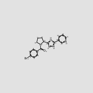 O=C(c1ccc(Br)cc1)N1CCCC1c1nnc(-c2cccnc2)o1